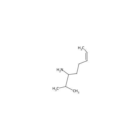 C/C=C\CCC(N)C(C)C